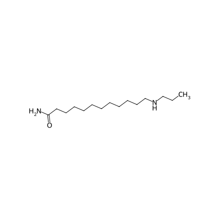 CCCNCCCCCCCCCCCC(N)=O